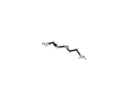 C/C=N/NCCC